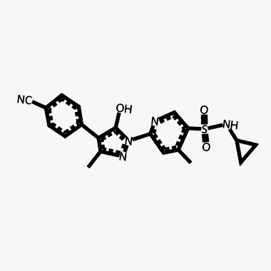 Cc1cc(-n2nc(C)c(-c3ccc(C#N)cc3)c2O)ncc1S(=O)(=O)NC1CC1